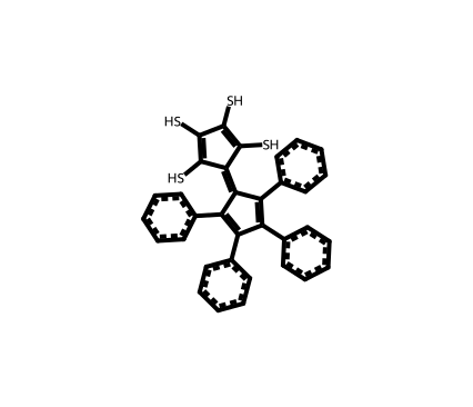 SC1=C(S)C(=C2C(c3ccccc3)=C(c3ccccc3)C(c3ccccc3)=C2c2ccccc2)C(S)=C1S